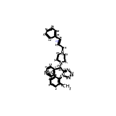 Cc1cccc(C)c1-n1nnnc1[C@H](c1ccncc1)N1CCN(C/C=C/c2ccccc2)CC1